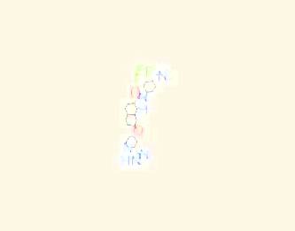 O=C(Nc1ccc(CN2CCCC2)c(C(F)(F)F)c1)c1ccc2ccc(Oc3ccnc(C4=NCCN4)c3)cc2c1